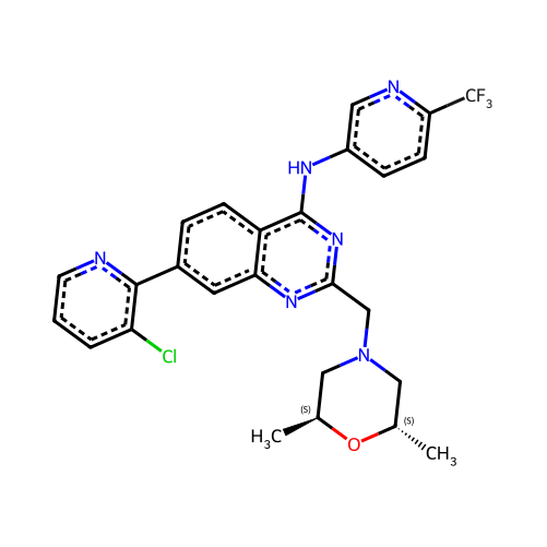 C[C@H]1CN(Cc2nc(Nc3ccc(C(F)(F)F)nc3)c3ccc(-c4ncccc4Cl)cc3n2)C[C@H](C)O1